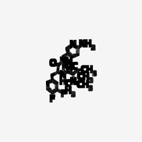 CN(C)C(C(=O)N[C@@H](Cc1ccc(F)c(F)c1)C(=O)NCc1ccc(N)nc1)C(C)(C)C